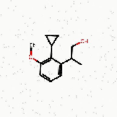 [CH2]C(CO)c1cccc(OCC)c1C1CC1